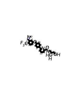 C/N=C\c1cc(Oc2ccc(-c3cccc(C(=O)NC[C@H](O)CO)n3)cc2)ccc1C(F)(F)F